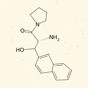 N[C@@H](C(=O)N1CCCC1)C(O)c1ccc2ccccc2c1